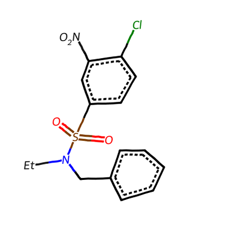 CCN(Cc1ccccc1)S(=O)(=O)c1ccc(Cl)c([N+](=O)[O-])c1